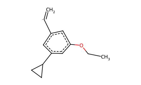 C=[C]c1cc(OCC)cc(C2CC2)c1